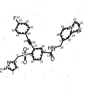 Cn1ccc(CS(=O)(=O)c2ccc(C(=O)NCc3ccn4ccnc4c3)cc2C#Cc2ccc(F)cc2)n1